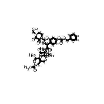 CCN1CCN(C(=O)NC(C(=O)N[C@]2(NO)C(=O)N3C(C(=O)O)=C(COC(C)=O)CS[C@H]32)c2ccc(OC(=O)OCc3ccccc3)cc2)C(=O)C1=O